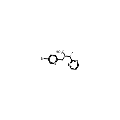 C[C@H](c1ncccn1)N(Cc1ccc(Br)cn1)C(=O)O